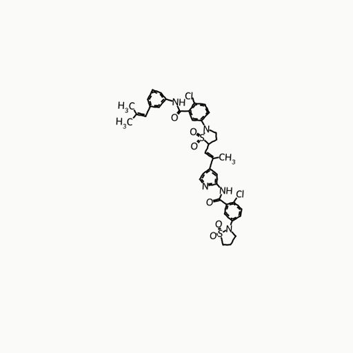 CC(C)=Cc1cccc(NC(=O)c2cc(N3CCC(/C=C(\C)c4ccnc(NC(=O)c5cc(N6CCCS6(=O)=O)ccc5Cl)c4)S3(=O)=O)ccc2Cl)c1